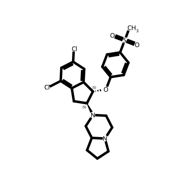 CS(=O)(=O)c1ccc(O[C@H]2c3cc(Cl)cc(Cl)c3C[C@@H]2N2CCN3CCCC3C2)cc1